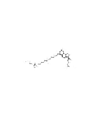 CNCCOP(=O)(O)OCCCCCC(=O)NCCCNCC(C)C1(C)CC(C)CC2C1CCC1(C)C2CCC1[C@H](C)CCCC(C)C